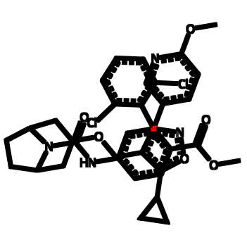 COC(=O)c1ccc(NC(=O)N2C3CCC2CC(OCc2c(-c4c(Cl)cccc4Cl)noc2C2CC2)C3)cc1-c1ccc(OC)nc1